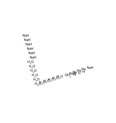 O.O.O.O.O.O.O.O.O.O.O.O.[NaH].[NaH].[NaH].[NaH].[NaH].[NaH].[NaH].[NaH].[NaH].[NaH].[NaH]